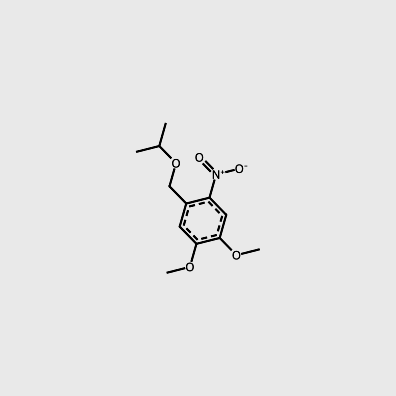 COc1cc(COC(C)C)c([N+](=O)[O-])cc1OC